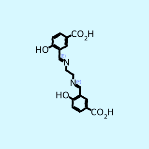 O=C(O)c1ccc(O)c(/C=N/CC/N=C/c2cc(C(=O)O)ccc2O)c1